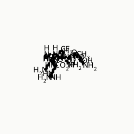 CC(NC(=O)C[C@@H](O)CN)C(=O)NCC(=O)N[C@H](CCCN)C(=O)N1C[C@@H](C(F)(F)F)C[C@H]1C(=O)N[C@@H](Cc1cnc[nH]1)C(=O)N[C@@H](CCCCN)C(=O)N/C(=C\CCNC(=N)N)C(=O)O